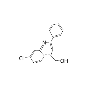 OCc1cc(-c2ccccc2)nc2cc(Cl)ccc12